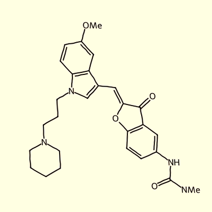 CNC(=O)Nc1ccc2c(c1)C(=O)C(=Cc1cn(CCCN3CCCCC3)c3ccc(OC)cc13)O2